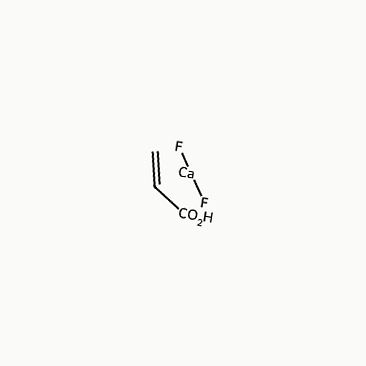 C=CC(=O)O.[F][Ca][F]